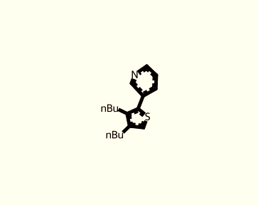 CCCCc1csc(-c2cccnc2)c1CCCC